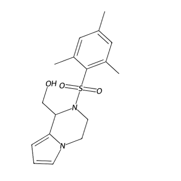 Cc1cc(C)c(S(=O)(=O)N2CCn3cccc3C2CO)c(C)c1